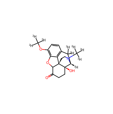 [2H]C([2H])([2H])Oc1ccc2c3c1OC1C(=O)CC[C@]4(O)[C@@]31CCN(C([2H])([2H])[2H])[C@]4([2H])C2([2H])[2H]